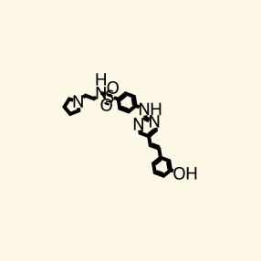 O=S(=O)(NCCN1CCCC1)c1ccc(Nc2ncc(/C=C/c3cccc(O)c3)cn2)cc1